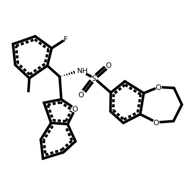 Cc1cccc(F)c1[C@H](NS(=O)(=O)c1ccc2c(c1)OCCCO2)c1cc2ccccc2o1